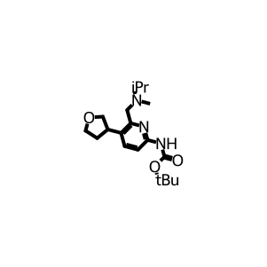 CC(C)N(C)Cc1nc(NC(=O)OC(C)(C)C)ccc1C1CCOC1